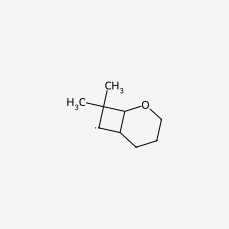 CC1(C)[CH]C2CCCOC21